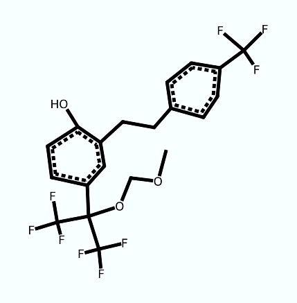 COCOC(c1ccc(O)c(CCc2ccc(C(F)(F)F)cc2)c1)(C(F)(F)F)C(F)(F)F